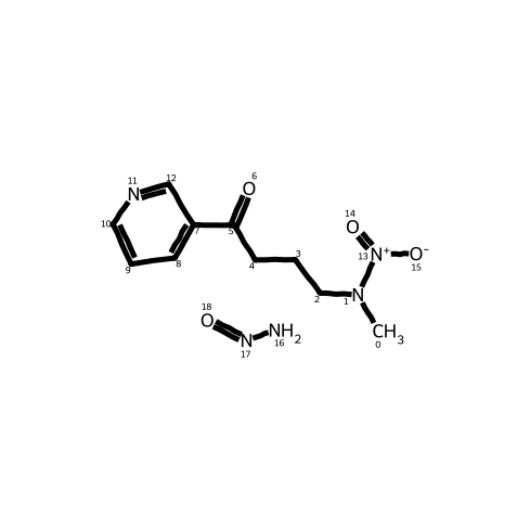 CN(CCCC(=O)c1cccnc1)[N+](=O)[O-].NN=O